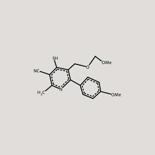 COCOCc1c(-c2ccc(OC)cc2)nc(C)c(C#N)c1S